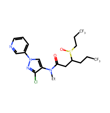 CCN(C(=O)CC(CCC(F)(F)F)[S+]([O-])CCC(F)(F)F)c1cn(-c2cccnc2)nc1Cl